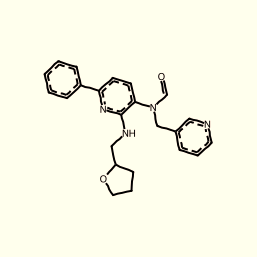 O=CN(Cc1cccnc1)c1ccc(-c2ccccc2)nc1NCC1CCCO1